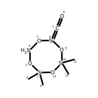 C[Si]1(C)O[SiH2]O[Si](=C=O)O[Si](C)(C)O1